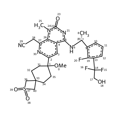 COC1(c2cc3c(N[C@H](C)c4cccc(C(F)(F)CO)c4F)nc(=O)n(C)c3c(CC#N)n2)CCC2(CC1)CS(=O)(=O)C2